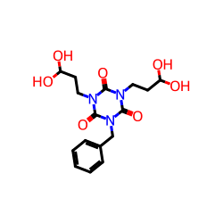 O=c1n(CCC(O)O)c(=O)n(Cc2ccccc2)c(=O)n1CCC(O)O